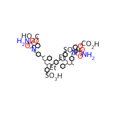 CCC(CC(CC(CC(C)c1ccc(Cn2c(C)c(C(=O)C(N)=O)c3c(OCC(=O)O)cccc32)cc1)c1ccccc1)c1ccc(S(=O)(=O)O)cc1)c1ccc(C(CC)CC(CC(CC(C)c2ccc(Cn3c(C)c(C(=O)C(N)=O)c4c(OCC(=O)O)cccc43)cc2)c2ccccc2)c2ccc(S(=O)(=O)O)cc2)cc1